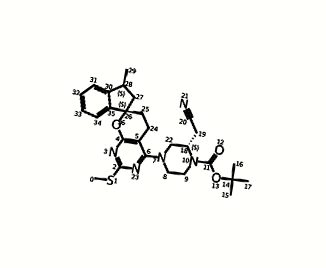 CSc1nc2c(c(N3CCN(C(=O)OC(C)(C)C)[C@@H](CC#N)C3)n1)CC[C@@]1(C[C@H](C)c3ccccc31)O2